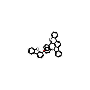 c1ccc(-n2c3ccccc3c3ccc4c5ccccc5nc(-c5ccc(-c6cccc7c6oc6ccccc67)cc5)c4c32)cc1